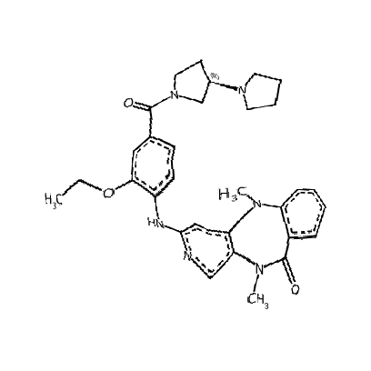 CCOc1cc(C(=O)N2CC[C@@H](N3CCCC3)C2)ccc1Nc1cc2c(cn1)N(C)C(=O)c1ccccc1N2C